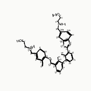 Cc1cc(CNCCO)ccc1OCc1cccc(-c2cccc(-c3nc4ccc(CNCCO)cc4s3)c2C)c1C